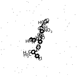 CC1(C)CCC(CN2CCN(c3ccc(C(=O)NS(=O)(=O)c4cc5c(c([N+](=O)[O-])c4)NC(CN=[SH]4(O)CCOCC4)CO5)c(Oc4cnc5[nH]ccc5c4)c3)CC2)=C(c2ccc(Cl)cc2)C1